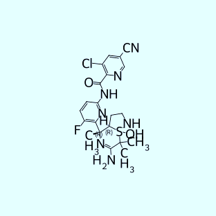 CC1(C)C(N)=N[C@](C)(c2nc(NC(=O)c3ncc(C#N)cc3Cl)ccc2F)[C@H]2CCNS21O